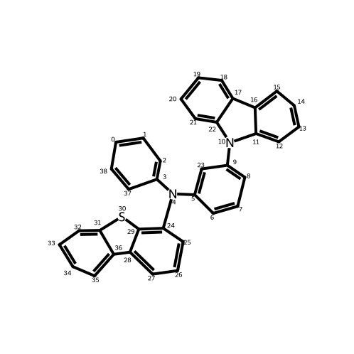 c1ccc(N(c2cccc(-n3c4ccccc4c4ccccc43)c2)c2cccc3c2sc2ccccc23)cc1